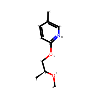 CO[C@@H](C)COc1ccc(C)cn1